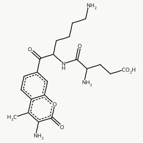 Cc1c(N)c(=O)oc2cc(C(=O)C(CCCCN)NC(=O)C(N)CCC(=O)O)ccc12